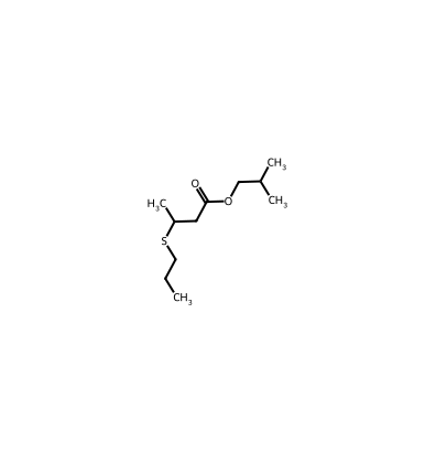 CCCSC(C)CC(=O)OCC(C)C